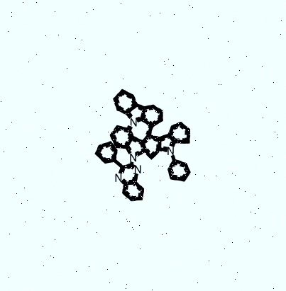 c1ccc(-c2nc3ccccc3nc2-n2c3cc4c(c5ccccc5n4-c4ccccc4)c4c5cccc6c7ccccc7n(c7cccc2c7c43)c65)cc1